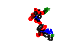 CCOc1cc(C(CS(C)(=O)=O)n2c(=O)n(COc3ccc(C(CS(C)(=O)=O)n4c(=O)[nH]c5cc(-c6ccccc6F)ccc54)cc3)c3ccc(C(=O)OCC(F)(F)F)cc32)ccc1OC